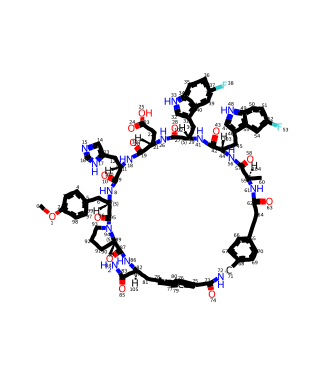 COc1ccc(C[C@@H]2NC(=O)[C@H](Cc3cnc[nH]3)NC(=O)[C@H](CC(=O)O)NC(=O)[C@H](Cc3c[nH]c4ccc(F)cc34)NC(=O)[C@H](Cc3c[nH]c4ccc(F)cc34)NC(=O)[C@@H](C)NC(=O)Cc3ccc(cc3)CNC(=O)c3ccc(cc3)C[C@@H](C(N)=O)NC(=O)[C@]3(C)CCCN3C2=O)cc1